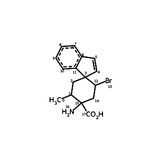 CC1CC2(C=Cc3ccccc32)C(Br)CC1(N)C(=O)O